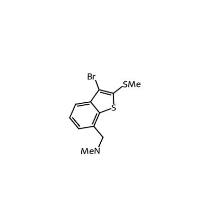 CNCc1cccc2c(Br)c(SC)sc12